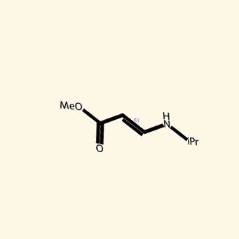 COC(=O)/C=C/NC(C)C